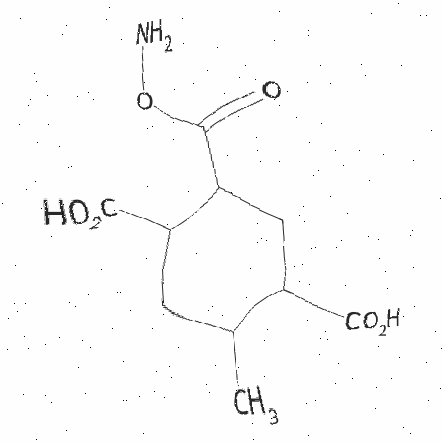 CC1CC(C(=O)O)C(C(=O)ON)CC1C(=O)O